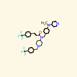 CN(c1ccncc1)c1ccc(CN(C(=O)C=Cc2ccc(C(F)(F)F)cc2)C2CCN(Cc3ccc(C(F)(F)F)cc3)CC2)cc1